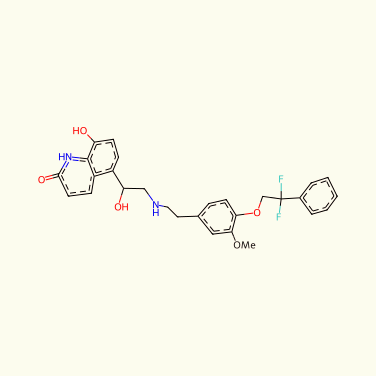 COc1cc(CCNCC(O)c2ccc(O)c3[nH]c(=O)ccc23)ccc1OCC(F)(F)c1ccccc1